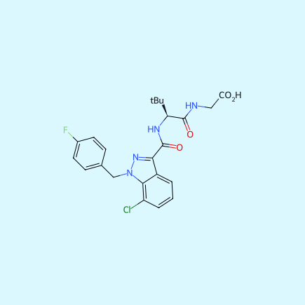 CC(C)(C)[C@H](NC(=O)c1nn(Cc2ccc(F)cc2)c2c(Cl)cccc12)C(=O)NCC(=O)O